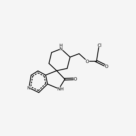 O=C(Cl)OCC1CC2(CCN1)C(=O)Nc1cnccc12